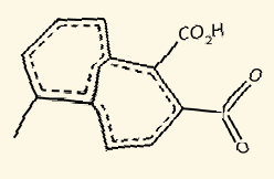 Cc1cccc2c(C(=O)O)c(I(=O)=O)ccc12